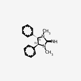 CN1C(=N)N(C)[C@@H](c2ccccc2)[C@@H]1c1ccccc1